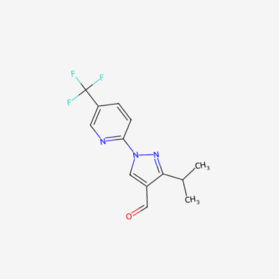 CC(C)c1nn(-c2ccc(C(F)(F)F)cn2)cc1C=O